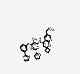 CC(C)(C)Cc1cnc2c(c1)[C@@H](NC[C@H](O)[C@H](Cc1cccc(-c3nccs3)c1)NC(=O)[C@H]1CCCO1)CC1(CCC1)O2